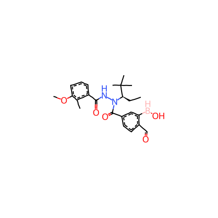 CC[C@@H](N(NC(=O)c1cccc(OC)c1C)C(=O)c1ccc(C=O)c(BO)c1)C(C)(C)C